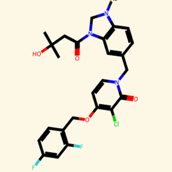 CC(=O)N1CN(C(=O)CC(C)(C)O)c2cc(Cn3ccc(OCc4ccc(F)cc4F)c(Cl)c3=O)ccc21